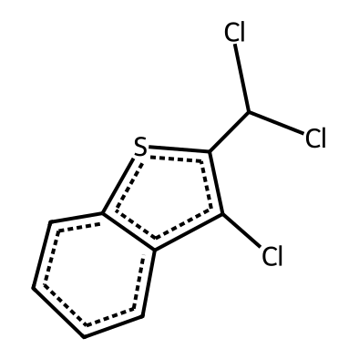 Clc1c(C(Cl)Cl)sc2ccccc12